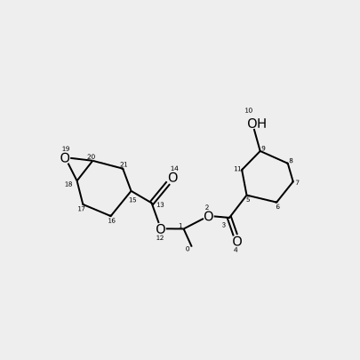 CC(OC(=O)C1CCCC(O)C1)OC(=O)C1CCC2OC2C1